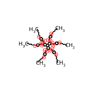 CCCCCCOc1ccc(C(=O)Oc2cc3c4cc(OC(=O)c5ccc(OCCCCCC)cc5)c(OC(=O)c5ccc(OCCCCCC)cc5)cc4c4cc(OC(=O)c5ccc(OCCCCCC)cc5)c(OC(=O)c5ccc(OCCCCCC)cc5)cc4c3cc2OC(=O)c2ccc(OCCCCCC)cc2)cc1